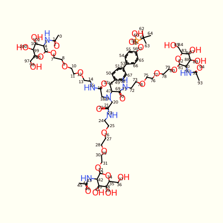 CC(=O)NC1C(OCCOCCOCCNC(=O)CN(CC(=O)NCCOCCOCCOC2OC(CO)C(O)C(O)C2NC(C)=O)C(Cc2ccc(-c3ccc(OP(=O)(O)C(C)(C)C)cc3)cc2)C(=O)NCCOCCOCCOC2OC(CO)C(O)C(O)C2NC(C)=O)OC(CO)C(O)C1O